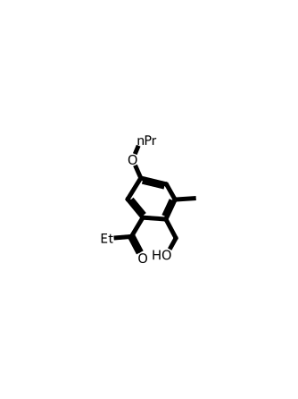 CCCOc1cc(C)c(CO)c(C(=O)CC)c1